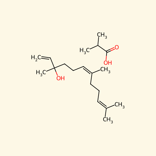 C=CC(C)(O)CCC=C(C)CCC=C(C)C.CC(C)C(=O)O